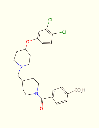 O=C(O)c1ccc(C(=O)N2CCC(CN3CCC(Oc4ccc(Cl)c(Cl)c4)CC3)CC2)cc1